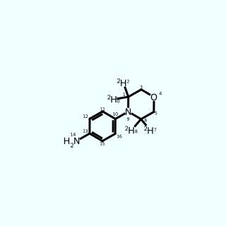 [2H]C1([2H])COCC([2H])([2H])N1c1ccc(N)cc1